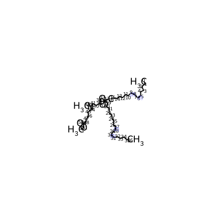 CCCCC/C=C\C/C=C\CCCCCCCCC1(CCCCCCCC/C=C\C/C=C\CCCCC)OCC(CCN(C)CCCCCC(=O)OC)O1